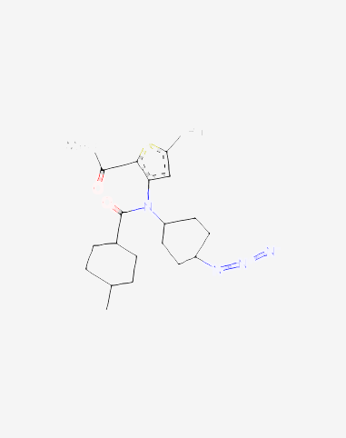 COC(=O)c1sc(C(C)(C)C)cc1N(C(=O)C1CCC(C)CC1)C1CCC(N=[N+]=[N-])CC1